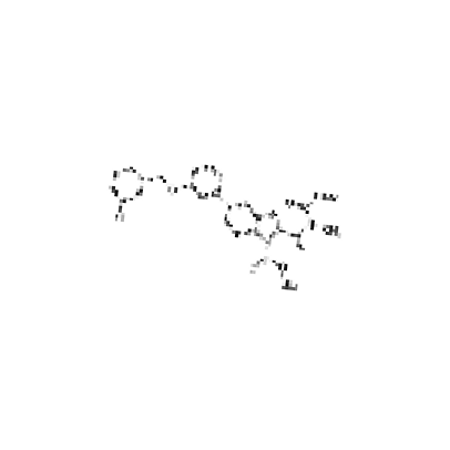 COC(=O)N(C)C(=O)c1nc2cc(-c3cccc(OCc4cccc(Cl)c4)c3)ccc2n1C(=O)OC(C)(C)C